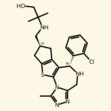 Cc1nnc2n1-c1sc3c(c1[C@H](c1ccccc1Cl)NC2)C[C@H](CNC(C)(C)CO)C3